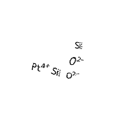 [O-2].[O-2].[Pt+4].[Si].[Si]